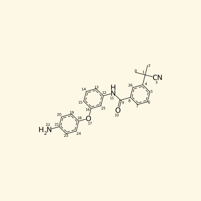 CC(C)(C#N)c1cccc(C(=O)Nc2cccc(Oc3ccc(N)cc3)c2)c1